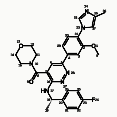 COc1cc(-c2cc(C(=O)N3CCOCC3)c(N[C@@H](C)c3ccc(F)cc3)nn2)ccc1-n1cnc(C)c1